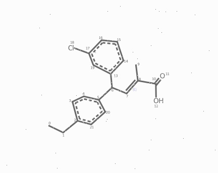 CCc1ccc(C(/C=C(\C)C(=O)O)c2cccc(Cl)c2)cc1